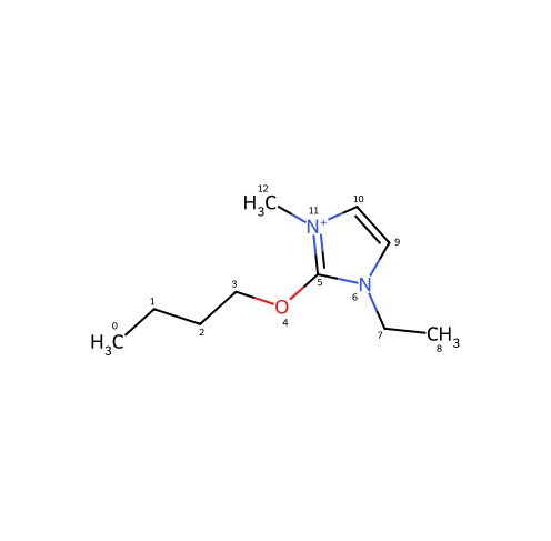 CCCCOc1n(CC)cc[n+]1C